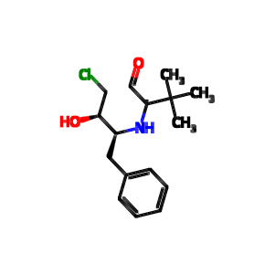 CC(C)(C)[C](C=O)N[C@@H](Cc1ccccc1)[C@@H](O)CCl